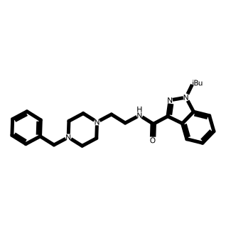 CCC(C)n1nc(C(=O)NCCN2CCN(Cc3ccccc3)CC2)c2ccccc21